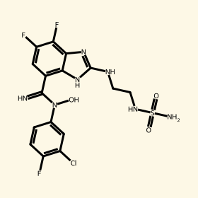 N=C(c1cc(F)c(F)c2nc(NCCNS(N)(=O)=O)[nH]c12)N(O)c1ccc(F)c(Cl)c1